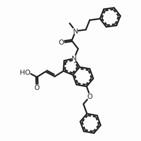 CN(CCc1ccccc1)C(=O)Cn1cc(C=CC(=O)O)c2cc(OCc3ccccc3)ccc21